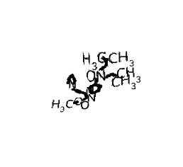 CCOC(=O)c1nc2ccc(C(=O)N(CCC(C)C)CCC(C)C)cn2c1C#CCN1CCCC1